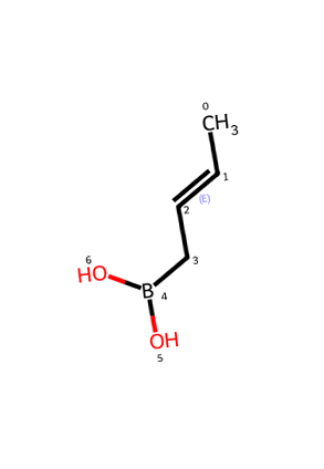 C/C=C/CB(O)O